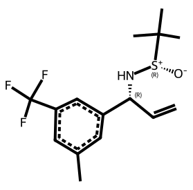 C=C[C@@H](N[S@@+]([O-])C(C)(C)C)c1cc(C)cc(C(F)(F)F)c1